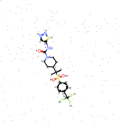 CC(C)(C1CCN(C(=O)Nc2cnns2)CC1)S(=O)(=O)c1ccc(C(F)(F)F)cc1